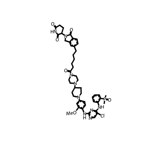 COc1cc(N2CCC(N3CCN(C(=O)CCCCCc4ccc5c(c4)CN(C4CCC(=O)NC4=O)C5=O)CC3)CC2)ccc1Nc1ncc(Cl)c(Nc2ccccc2P(C)(C)=O)n1